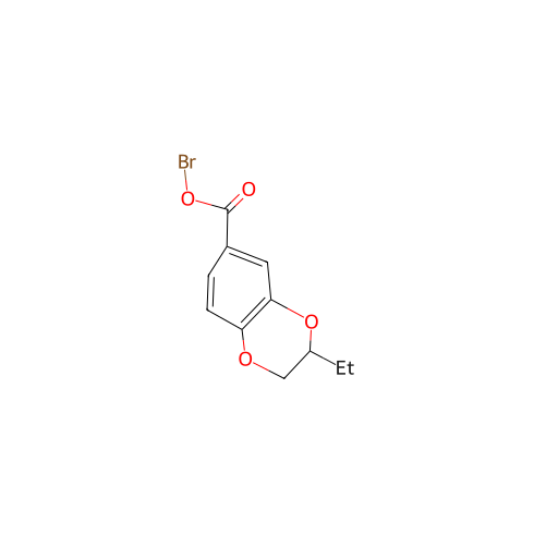 CCC1COc2ccc(C(=O)OBr)cc2O1